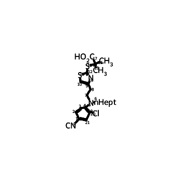 [C-]#[N+]c1ccc(N(CCCCCCC)CCc2csc(SC(C)(C)C(=O)O)n2)c(Cl)c1